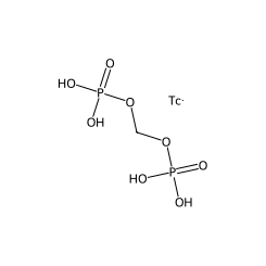 O=P(O)(O)OCOP(=O)(O)O.[Tc]